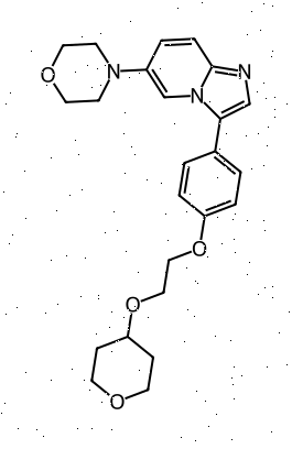 c1cc(-c2cnc3ccc(N4CCOCC4)cn23)ccc1OCCOC1CCOCC1